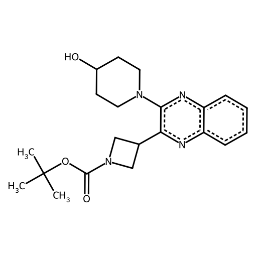 CC(C)(C)OC(=O)N1CC(c2nc3ccccc3nc2N2CCC(O)CC2)C1